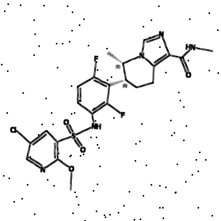 CNC(=O)c1ncn2c1CC[C@H](c1c(F)ccc(NS(=O)(=O)c3cc(Cl)cnc3OC)c1F)[C@@H]2C